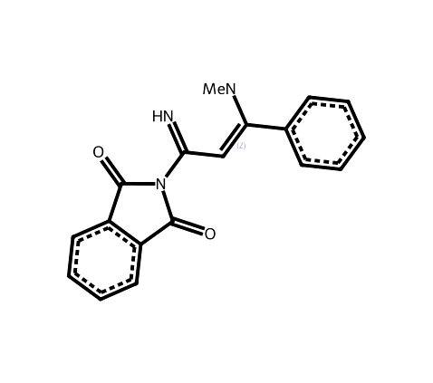 CN/C(=C\C(=N)N1C(=O)c2ccccc2C1=O)c1ccccc1